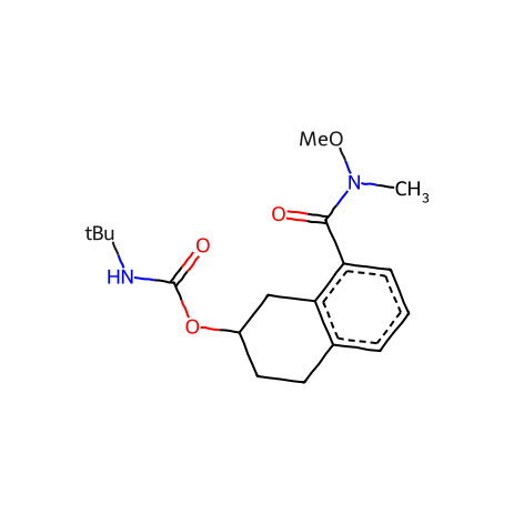 CON(C)C(=O)c1cccc2c1CC(OC(=O)NC(C)(C)C)CC2